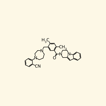 Cc1cc(C)c(C(=O)N2CCn3c(cc4ccccc43)C2)cc1CN1CCCN(c2ccccc2C#N)CC1